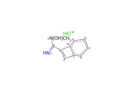 CN(O)C(=N)C1=Cc2ccccc21.Cl